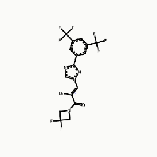 O=C(/C(Br)=C/n1cnc(-c2cc(C(F)(F)F)cc(C(F)(F)F)c2)n1)N1CC(F)(F)C1